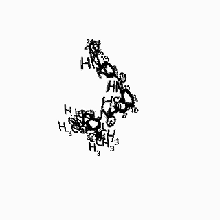 COc1c(NC(=O)c2cc3cccc(NC(=O)c4ccc(Nn5ccnc5)nc4)c3s2)cc(C(C)(C)C)cc1NS(C)(=O)=O